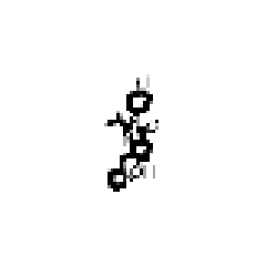 CC(C)c1nc2c(Cc3ccccn3)c(O)ccc2c(=O)n1-c1ccc(Cl)cc1